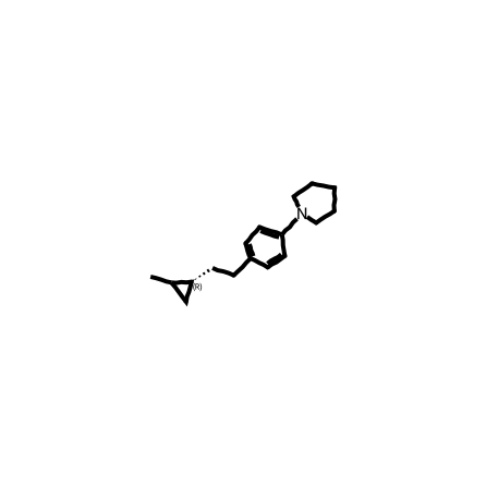 CC1C[C@H]1CCc1ccc(N2CCCCC2)cc1